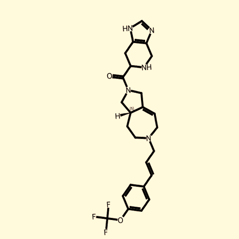 O=C(C1Cc2[nH]cnc2CN1)N1CC2=CCN(CC=Cc3ccc(OC(F)(F)F)cc3)CC[C@@H]2C1